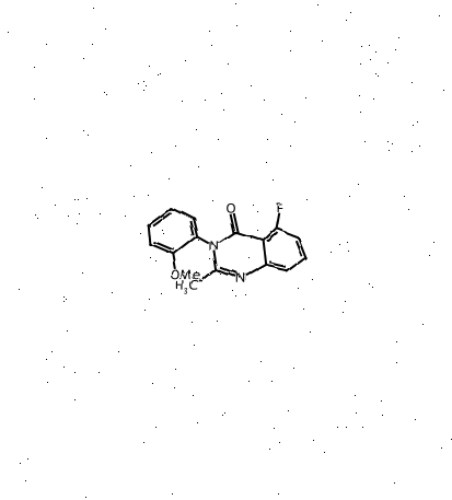 COc1ccccc1-n1c(C)nc2cccc(F)c2c1=O